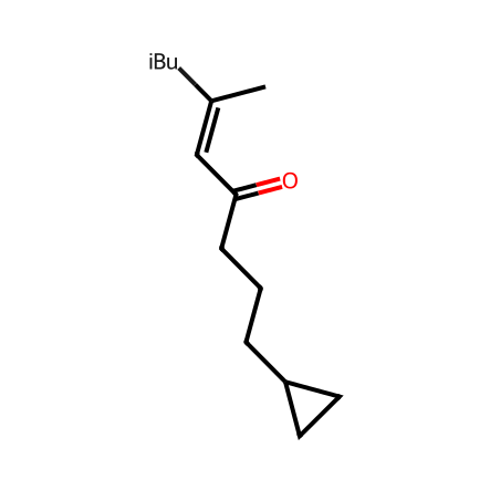 CCC(C)/C(C)=C/C(=O)CCCC1CC1